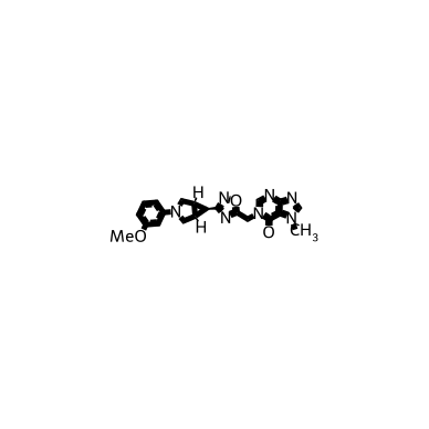 COc1cccc(N2C[C@@H]3[C@H](C2)[C@@H]3c2noc(Cn3cnc4ncn(C)c4c3=O)n2)c1